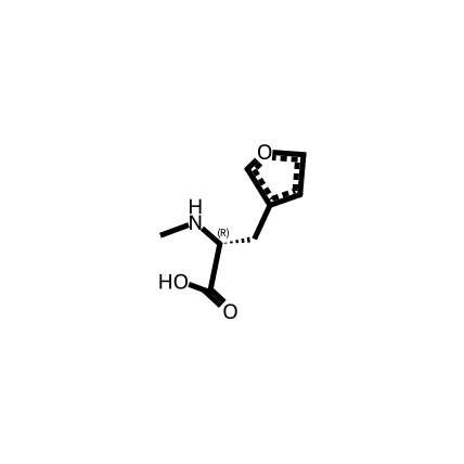 CN[C@H](Cc1ccoc1)C(=O)O